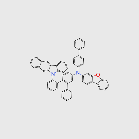 c1ccc(-c2ccc(N(c3ccc(-c4ccccc4-n4c5ccccc5c5cc6ccccc6cc54)c(-c4ccccc4)c3)c3ccc4c(c3)oc3ccccc34)cc2)cc1